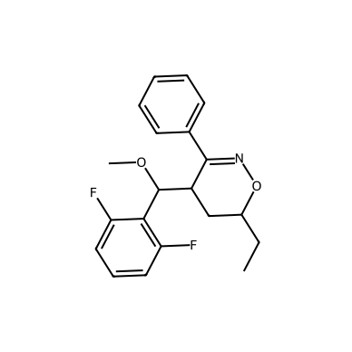 CCC1CC(C(OC)c2c(F)cccc2F)C(c2ccccc2)=NO1